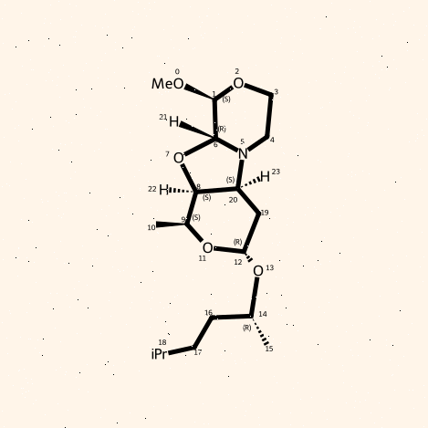 CO[C@H]1OCCN2[C@@H]1O[C@@H]1[C@H](C)O[C@@H](O[C@H](C)CCC(C)C)C[C@@H]12